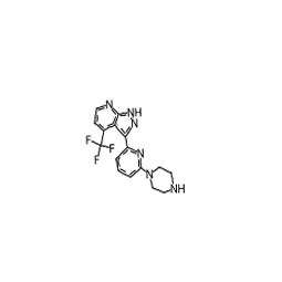 FC(F)(F)c1ccnc2[nH]nc(-c3cccc(N4CCNCC4)n3)c12